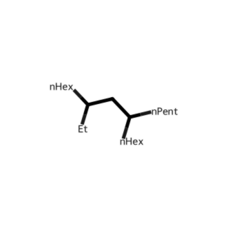 CCCCCCC(CC)CC(CCCCC)CCCCCC